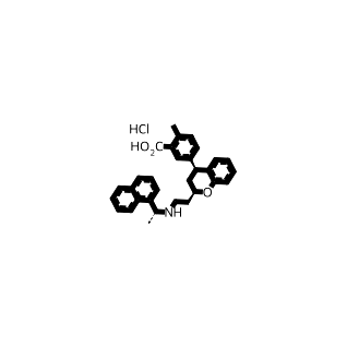 Cc1ccc([C@@H]2C[C@H](CCN[C@H](C)c3cccc4ccccc34)Oc3ccccc32)cc1C(=O)O.Cl